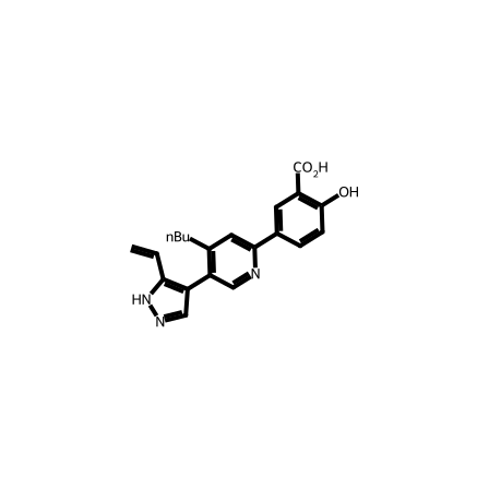 C=Cc1[nH]ncc1-c1cnc(-c2ccc(O)c(C(=O)O)c2)cc1CCCC